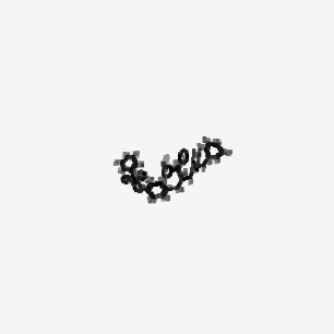 COC(=O)C(CNCc1ccccc1)Cc1ccc(OS(=O)(=O)c2ccccc2)cc1